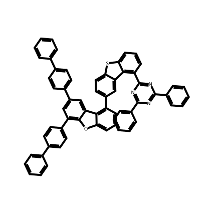 c1ccc(-c2ccc(-c3cc(-c4ccc(-c5ccccc5)cc4)c4oc5cccc(-c6ccc7sc8cccc(-c9nc(-c%10ccccc%10)nc(-c%10ccccc%10)n9)c8c7c6)c5c4c3)cc2)cc1